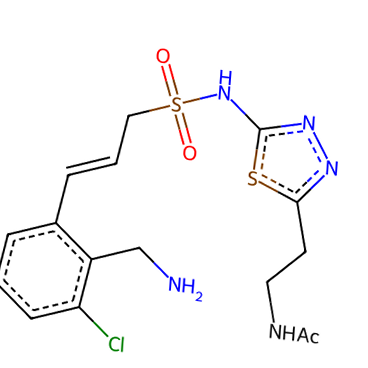 CC(=O)NCCc1nnc(NS(=O)(=O)CC=Cc2cccc(Cl)c2CN)s1